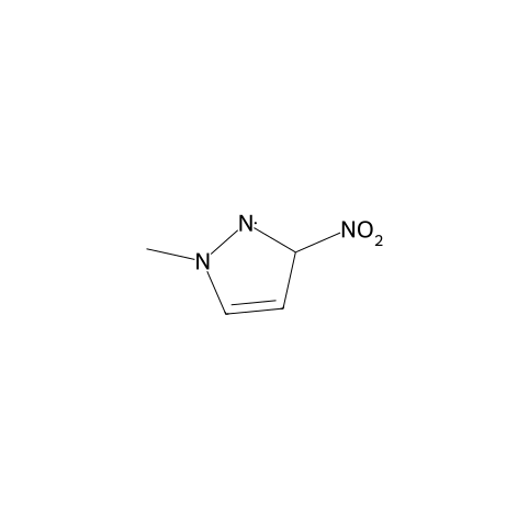 CN1C=CC([N+](=O)[O-])[N]1